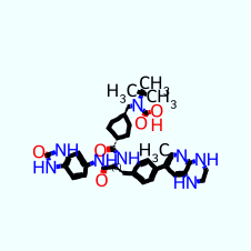 Cc1nc2c(cc1-c1ccc(C[C@H](NC(=O)[C@H]3CC[C@H](CN(C(=O)O)C(C)(C)C)CC3)C(=O)Nc3ccc4[nH]c(=O)[nH]c4c3)cc1)NCCN2